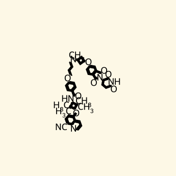 CN(CCCCOc1ccc(C(=O)NC2C(C)(C)C(Oc3ccc(C#N)c4ncccc34)C2(C)C)cc1)C1CC(Oc2ccc3c(c2)C(=O)N(C2CCC(=O)NC2=O)C3=O)C1